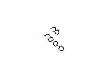 Cc1ccc2cccc(O)c2n1.Cc1ccc2cccc(O)c2n1.Oc1ccccc1-c1ccccc1